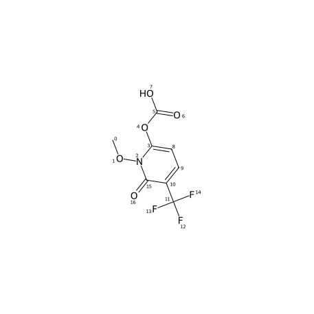 COn1c(OC(=O)O)ccc(C(F)(F)F)c1=O